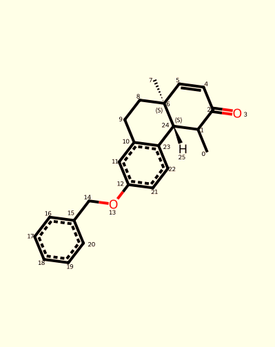 CC1C(=O)C=C[C@]2(C)CCc3cc(OCc4ccccc4)ccc3[C@@H]12